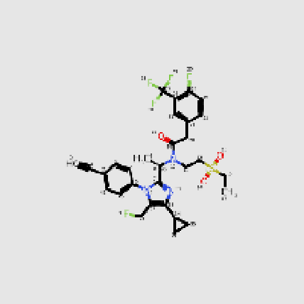 C#Cc1ccc(-n2c([C@@H](C)N(CCS(=O)(=O)CC)C(=O)Cc3ccc(F)c(C(F)(F)F)c3)nc(C3CC3)c2CF)cc1